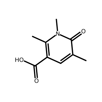 Cc1cc(C(=O)O)c(C)n(C)c1=O